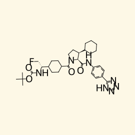 CC(C)(C)OC(=O)N[C@H](CF)C1CCC(C(=O)N2CC[C@@H](C3CCCCC3)[C@H]2C(=O)Nc2ccc(-c3nnn[nH]3)cc2)CC1